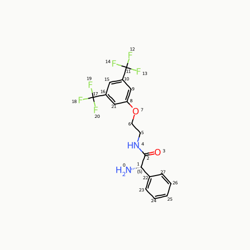 N[C@H](C(=O)NCCOc1cc(C(F)(F)F)cc(C(F)(F)F)c1)c1ccccc1